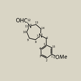 COc1cccc(CN2CCCN(C=O)CC2)c1